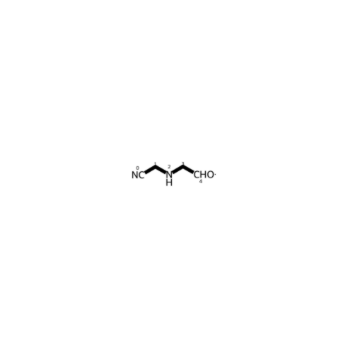 N#CCNC[C]=O